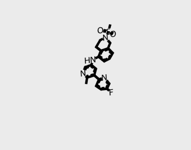 Cc1ncc(Nc2cccc3c2CCN(S(C)(=O)=O)C3)cc1-c1ccc(F)cn1